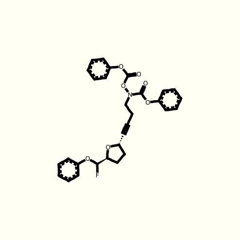 O=C(Oc1ccccc1)ON(CCC#C[C@@H]1CC[C@@H](C(F)Oc2ccccc2)O1)C(=O)Oc1ccccc1